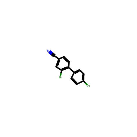 N#Cc1ccc(-c2ccc(Cl)cc2)c(Br)c1